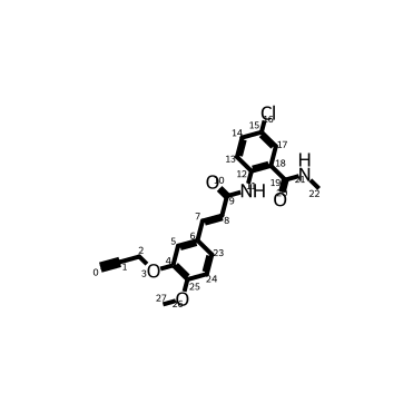 C#CCOc1cc(/C=C/C(=O)Nc2ccc(Cl)cc2C(=O)NC)ccc1OC